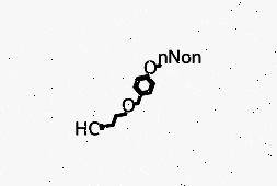 C#CCCCOCc1ccc(OCCCCCCCCCC)cc1